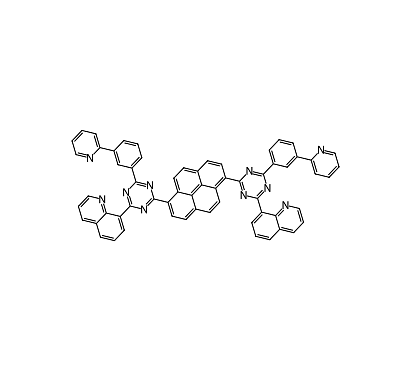 c1ccc(-c2cccc(-c3nc(-c4ccc5ccc6c(-c7nc(-c8cccc(-c9ccccn9)c8)nc(-c8cccc9cccnc89)n7)ccc7ccc4c5c76)nc(-c4cccc5cccnc45)n3)c2)nc1